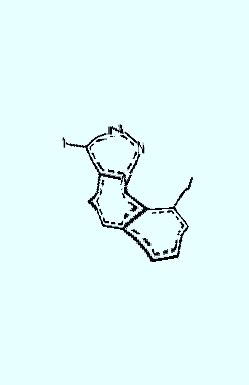 Ic1nnn2c1ccc1cccc(I)c12